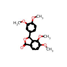 COc1ccc(C2OC(=O)c3ccc(OC)c(OC)c32)cc1OC